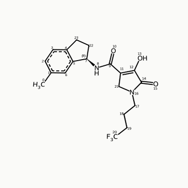 Cc1ccc2c(c1)[C@H](NC(=O)C1=C(O)C(=O)N(CCCC(F)(F)F)C1)CC2